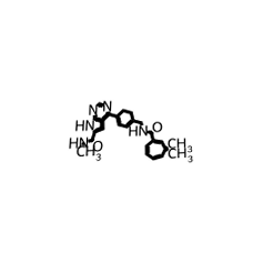 CNC(=O)c1cc2c(C3=CC=C(CNC(=O)C4=CC(C)(C)C=CC=C4)CC3)ncnc2[nH]1